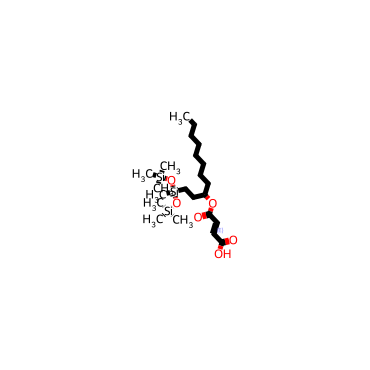 CCCCCCCCC(CC[Si](C)(O[Si](C)(C)C)O[Si](C)(C)C)OC(=O)/C=C/C(=O)O